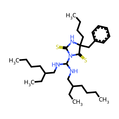 CCCCC(CC)CNC(NCC(CC)CCCC)N1C(=S)NC(CCCC)(Cc2ccccc2)C1=S